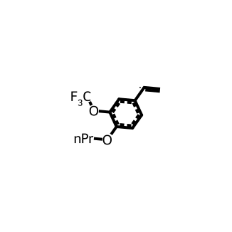 C=[C]c1ccc(OCCC)c(OC(F)(F)F)c1